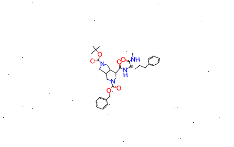 CNC(=O)[C@H](CCCc1ccccc1)NC(=O)C1CN(C(=O)OCc2ccccc2)CC2CN(C(=O)OC(C)(C)C)CC21